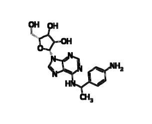 CC(Nc1ncnc2c1ncn2[C@@H]1O[C@H](CO)C(O)C1O)c1ccc(N)cc1